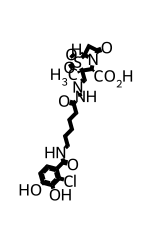 C[C@]1(/C=N/NC(=O)CCCCCNC(=O)c2ccc(O)c(O)c2Cl)[C@H](C(=O)O)N2C(=O)C[C@H]2S1(=O)=O